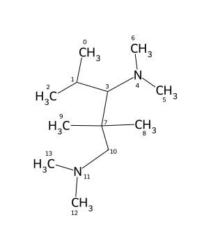 CC(C)C(N(C)C)C(C)(C)CN(C)C